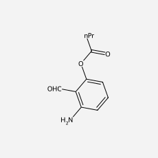 CCCC(=O)Oc1cccc(N)c1C=O